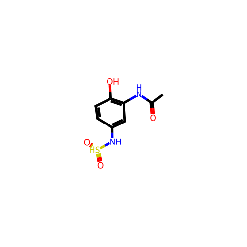 CC(=O)Nc1cc(N[SH](=O)=O)ccc1O